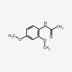 COc1ccc(NC(C)=O)c(OC)c1